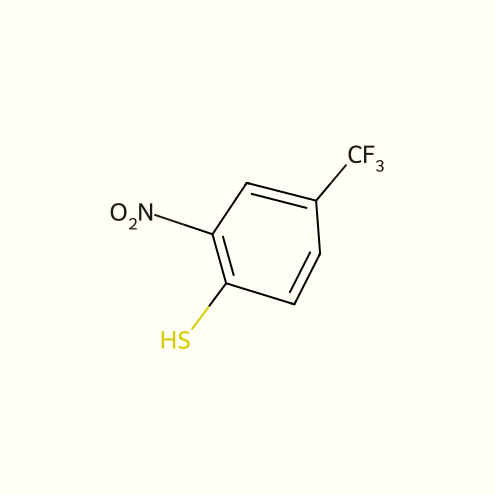 O=[N+]([O-])c1cc(C(F)(F)F)ccc1S